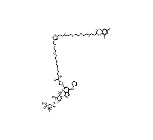 O=C(CCOCCOCCOCCOCCn1cc(COCCOCCOCCOCCNC(=O)C2CN(c3nc(NC4CCCC4)c4cnn([C@@H]5O[C@H](COP(=O)(O)CP(=O)(O)O)[C@@H](O)[C@H]5O)c4n3)C2)nn1)Oc1c(F)cc(F)cc1F